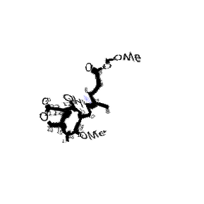 COCOC(=O)CC/C(C)=C/Cc1c(O)c2c(c(C)c1OC)COC2=O